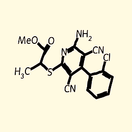 COC(=O)C(C)Sc1nc(N)c(C#N)c(-c2ccccc2Cl)c1C#N